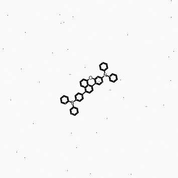 c1ccc(B(c2ccccc2)c2ccc(-c3ccc4c5c(cccc35)Oc3cc(N(c5ccccc5)c5ccccc5)ccc3-4)cc2)cc1